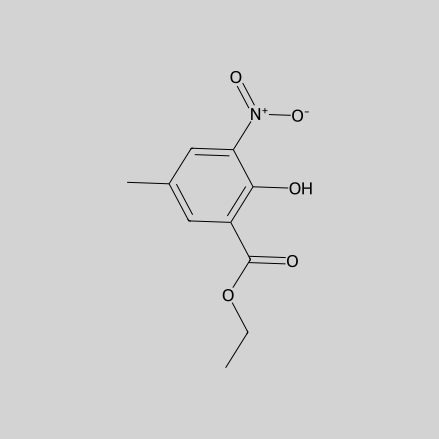 CCOC(=O)c1cc(C)cc([N+](=O)[O-])c1O